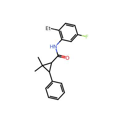 CCc1ccc(F)cc1NC(=O)C1C(c2ccccc2)C1(C)C